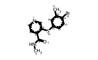 CNC(=O)c1ccncc1Sc1ccc(Br)c(C)c1